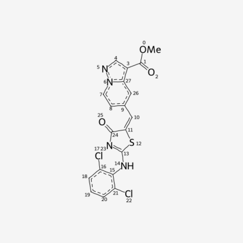 COC(=O)c1cnn2ccc(C=C3SC(Nc4c(Cl)cccc4Cl)=NC3=O)cc12